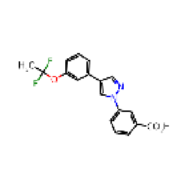 CC(F)(F)Oc1cccc(-c2cnn(-c3cccc(C(=O)O)c3)c2)c1